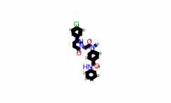 CN(C(=O)CN1N=C(c2ccc(Cl)cc2)CCC1=O)c1ccc(C(=O)NC2CCCCC2)cc1